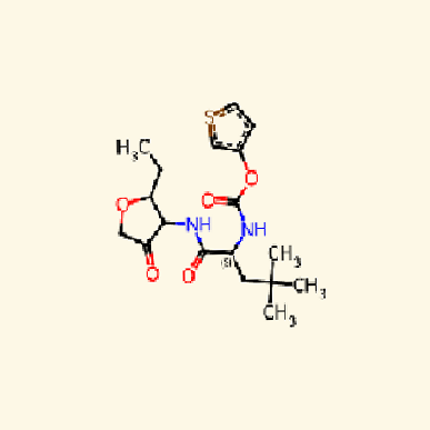 CCC1OCC(=O)C1NC(=O)[C@H](CC(C)(C)C)NC(=O)Oc1ccsc1